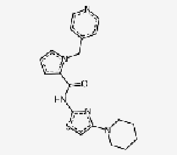 O=C(Nc1nc(N2CCCCC2)cs1)c1cccn1Cc1ccncc1